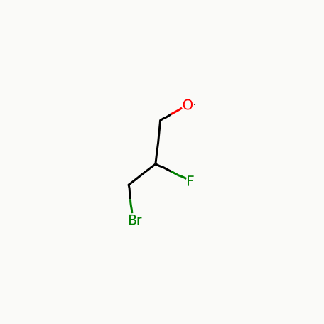 [O]CC(F)CBr